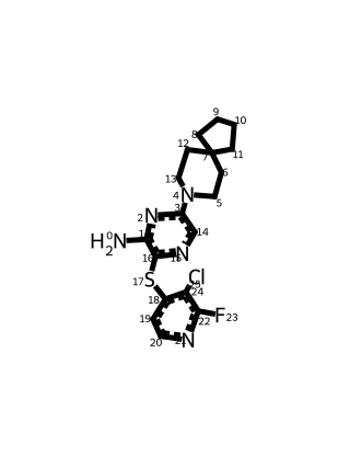 Nc1nc(N2CCC3(CCCC3)CC2)cnc1Sc1ccnc(F)c1Cl